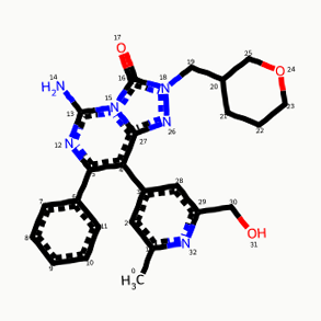 Cc1cc(-c2c(-c3ccccc3)nc(N)n3c(=O)n(CC4CCCOC4)nc23)cc(CO)n1